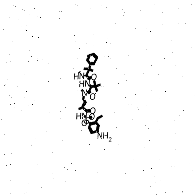 CCc1cc(N)ccc1S(=O)(=O)NC(=O)/C(C)=C/CN(C)C(=O)C(NC(=O)[C@@H](NC)C(C)(C)c1ccccc1)C(C)(C)C